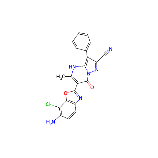 Cc1[nH]c2c(-c3ccccc3)c(C#N)nn2c(=O)c1-c1nc2ccc(N)c(Cl)c2o1